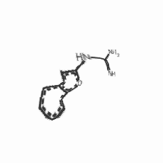 N=C(N)Nc1cc2ccccc2o1